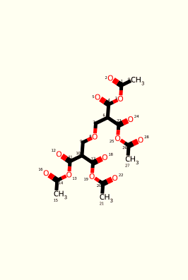 CC(=O)OC(=O)C(COCC(C(=O)OC(C)=O)C(=O)OC(C)=O)C(=O)OC(C)=O